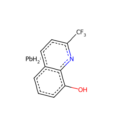 Oc1cccc2ccc(C(F)(F)F)nc12.[PbH2]